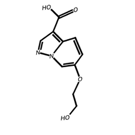 O=C(O)c1cnn2cc(OCCO)ccc12